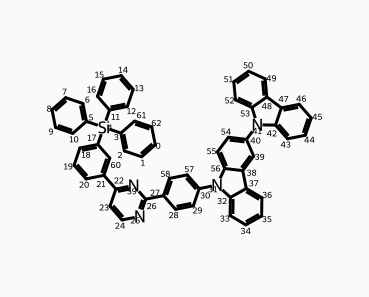 c1ccc([Si](c2ccccc2)(c2ccccc2)c2cccc(-c3ccnc(-c4ccc(-n5c6ccccc6c6cc(-n7c8ccccc8c8ccccc87)ccc65)cc4)n3)c2)cc1